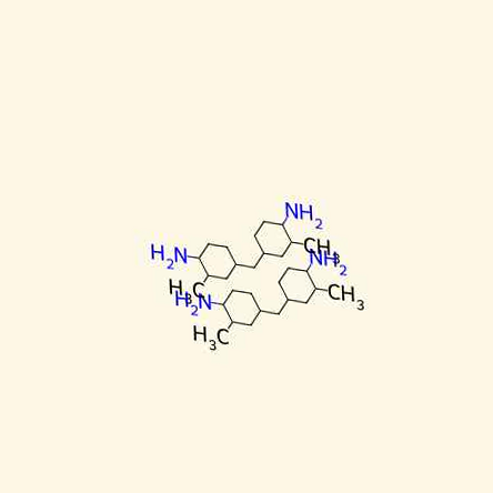 CC1CC(CC2CCC(N)C(C)C2)CCC1N.CC1CC(CC2CCC(N)C(C)C2)CCC1N